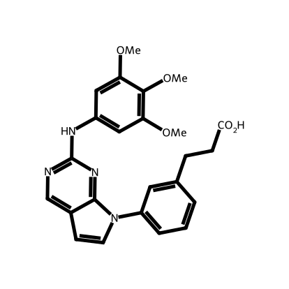 COc1cc(Nc2ncc3ccn(-c4cccc(CCC(=O)O)c4)c3n2)cc(OC)c1OC